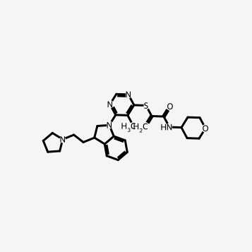 C=C(Sc1ncnc(N2CC(CCN3CCCC3)c3ccccc32)c1C)C(=O)NC1CCOCC1